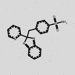 NS(=O)(=O)c1ccc(CC2(c3ccccn3)N=c3ccccc3=N2)cc1